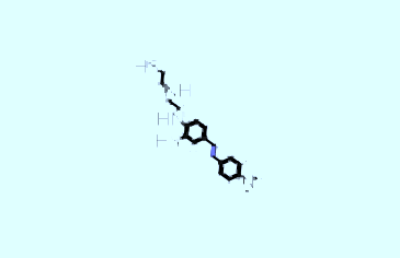 CN(C)c1ccc(/C=C/c2ccc(NCCNCCS)c(S)c2)cc1